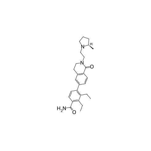 CCc1c(C(N)=O)ccc(-c2ccc3c(c2)CCN(CCN2CCC[C@H]2C)C3=O)c1CC